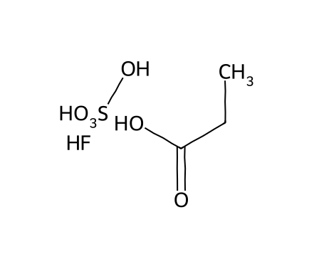 CCC(=O)O.F.O=S(=O)(O)O